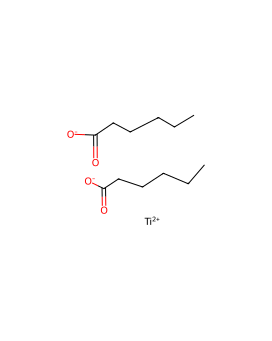 CCCCCC(=O)[O-].CCCCCC(=O)[O-].[Ti+2]